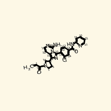 C=CC(=O)N1CCC(c2nc(-c3ccc(C(=O)Nc4ccccn4)cc3Cl)n3c(N)nccc23)C1